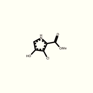 COC(=O)c1[nH]cc(O)c1Cl